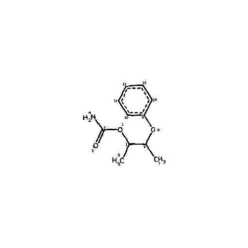 CC(OC(N)=O)C(C)Oc1ccccc1